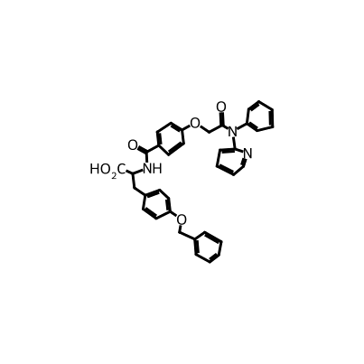 O=C(NC(Cc1ccc(OCc2ccccc2)cc1)C(=O)O)c1ccc(OCC(=O)N(c2ccccc2)c2ccccn2)cc1